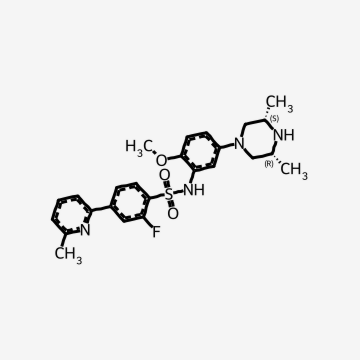 COc1ccc(N2C[C@@H](C)N[C@@H](C)C2)cc1NS(=O)(=O)c1ccc(-c2cccc(C)n2)cc1F